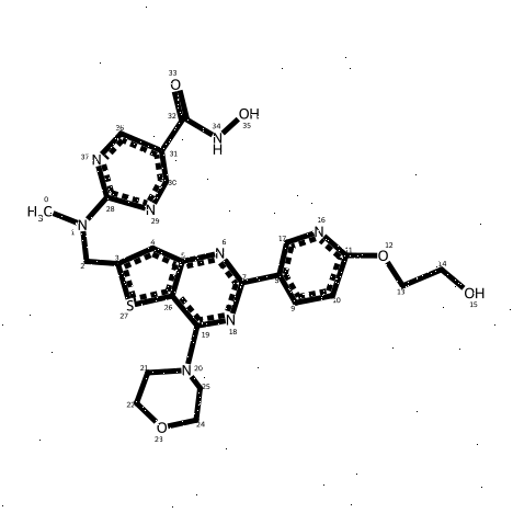 CN(Cc1cc2nc(-c3ccc(OCCO)nc3)nc(N3CCOCC3)c2s1)c1ncc(C(=O)NO)cn1